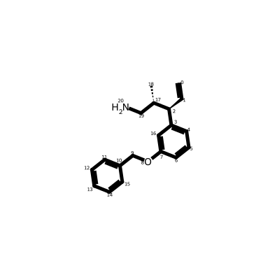 C=C[C@@H](c1cccc(OCc2ccccc2)c1)[C@@H](C)CN